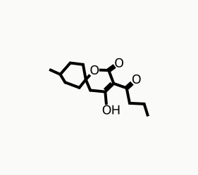 CCCC(=O)C1=C(O)CC2(CCC(C)CC2)OC1=O